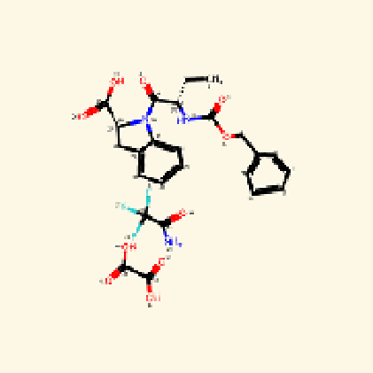 CC[C@H](NC(=O)OCc1ccccc1)C(=O)N1c2ccccc2C[C@H]1C(=O)O.NC(=O)C(F)(F)F.O=C(O)C(=O)O